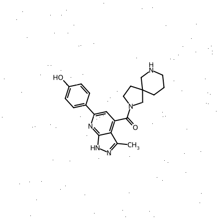 Cc1n[nH]c2nc(-c3ccc(O)cc3)cc(C(=O)N3CCC4(CCCNC4)C3)c12